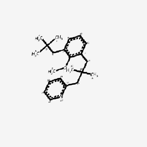 COc1c(CC(C)(C)C)cccc1CC(C)(C)Cc1ccccn1